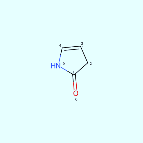 O=C1C[C]=CN1